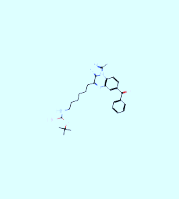 Cc1nnc2c(CCCCCCNC(O)OC(C)(C)C)nc3cc(C(=O)c4ccccc4)ccc3n12